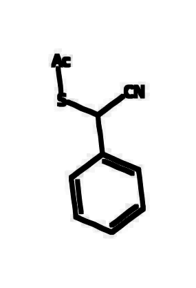 CC(=O)SC(C#N)c1ccccc1